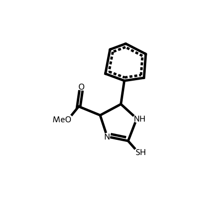 COC(=O)C1N=C(S)NC1c1ccccc1